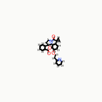 O=C1OC2(CCN(C(=O)C3(c4ccc(OCCc5ccccn5)cc4)CC3)C2)c2ccccc21